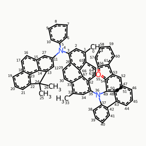 Cc1cc(N(c2ccccc2)c2cc3c4c(ccc5cccc(c54)C3(C)C)c2)c2ccc3c(C)cc(N(c4ccccc4-c4ccccc4)c4cccc5c4oc4ccccc45)c4ccc1c2c34